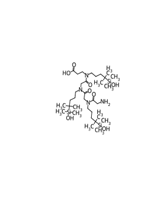 CC(C)(CCCN(CCC(=O)O)C(=O)CN(CCCC(C)(C)[Si](C)(C)O)C(=O)CN(CCCC(C)(C)[Si](C)(C)O)C(=O)CN)[Si](C)(C)O